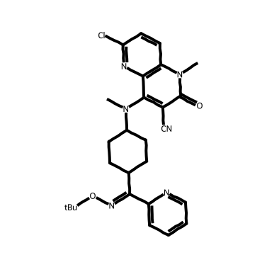 CN(c1c(C#N)c(=O)n(C)c2ccc(Cl)nc12)C1CCC(/C(=N\OC(C)(C)C)c2ccccn2)CC1